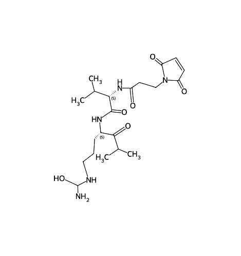 CC(C)C(=O)[C@H](CCCNC(N)O)NC(=O)[C@@H](NC(=O)CCN1C(=O)C=CC1=O)C(C)C